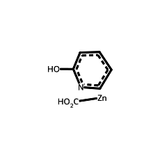 O=[C](O)[Zn].Oc1ccccn1